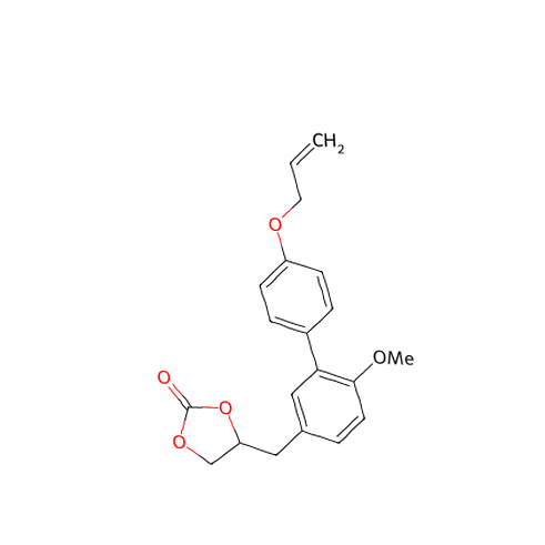 C=CCOc1ccc(-c2cc(CC3COC(=O)O3)ccc2OC)cc1